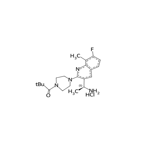 Cc1c(F)ccc2cc([C@H](C)N)c(N3CCN(C(=O)C(C)(C)C)CC3)nc12.Cl